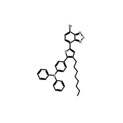 CCCCCCCCc1cc(-c2ccc(Br)c3nsnc23)sc1-c1ccc(N(c2ccccc2)c2ccccc2)cc1